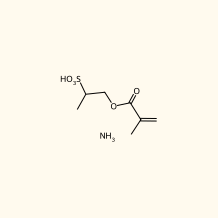 C=C(C)C(=O)OCC(C)S(=O)(=O)O.N